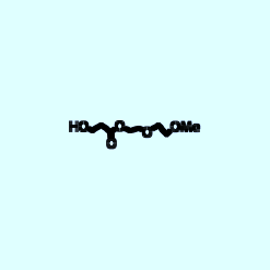 COCCOCCOC(=O)CCO